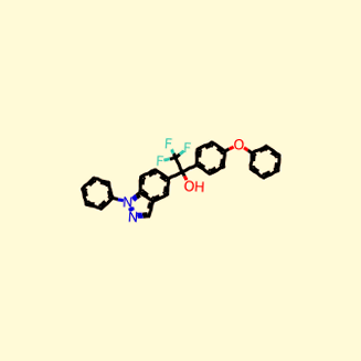 OC(c1ccc(Oc2ccccc2)cc1)(c1ccc2c(cnn2-c2ccccc2)c1)C(F)(F)F